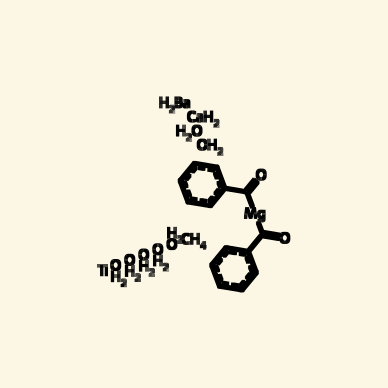 C.O.O.O.O.O.O.O.O=[C]([Mg][C](=O)c1ccccc1)c1ccccc1.[BaH2].[CaH2].[Ti]